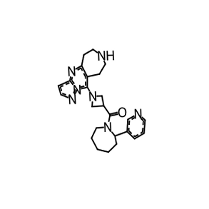 O=C(C1CN(c2c3c(nc4ccnn24)CCNCC3)C1)N1CCCCCC1c1cccnc1